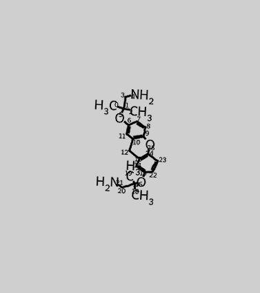 CC(C)(CN)Oc1ccc2c(c1)Cc1cc(OC(C)(C)CN)ccc1O2